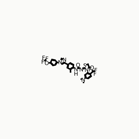 Cc1cc(-c2cn(-c3ccc(OC(F)(F)F)cc3)cn2)ccc1NC(=O)/N=C1\SCC(=O)N1c1cc(N(C)C)ccc1C(F)(F)F